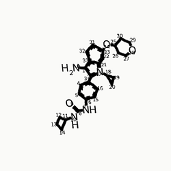 Nc1c(-c2ccc(NC(=O)NC3CCC3)cc2)n(C2CC2)c2cc(OC3CCOCC3)ccc12